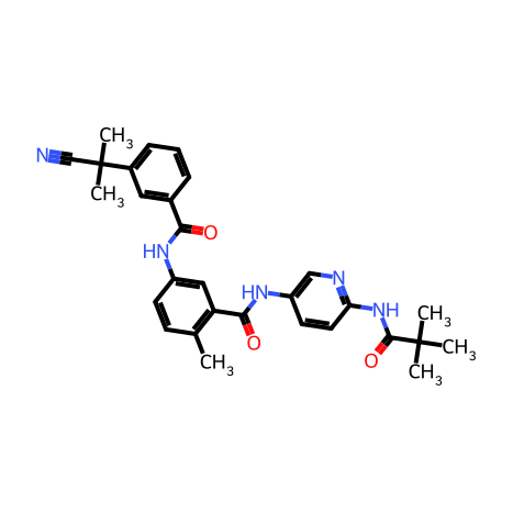 Cc1ccc(NC(=O)c2cccc(C(C)(C)C#N)c2)cc1C(=O)Nc1ccc(NC(=O)C(C)(C)C)nc1